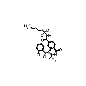 CCCCCS(=O)(=O)NC(=O)c1ccc2c(=O)nc(C)n(C(Cl)c3ccccc3Cl)c2c1